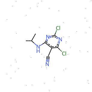 CC(C)Nc1nc(Cl)nc(Cl)c1C#N